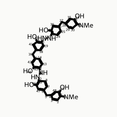 CNc1ccc(Cc2ccc(NNc3ccc(Cc4ccc(NNc5ccc(Cc6ccc(NC)c(O)c6)cc5O)c(O)c4)cc3O)c(O)c2)cc1O